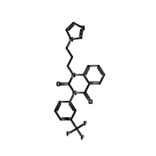 O=c1c2ccccc2n(CCCn2ccnc2)c(=O)n1-c1cccc(C(F)(F)F)c1